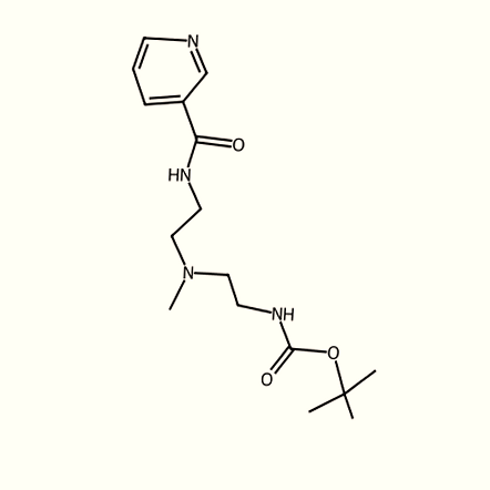 CN(CCNC(=O)OC(C)(C)C)CCNC(=O)c1cccnc1